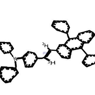 [2H]/C(=C(/[2H])c1ccc2c(-c3ccccc3)c3ccccc3c(-c3ccccc3)c2c1)c1ccc(N(c2ccccc2)c2ccccc2)cc1